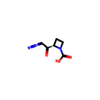 [N-]=[N+]=CC(=O)[C@@H]1CCN1C(=O)O